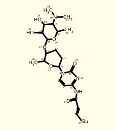 CCC(C)/C=C/C(=O)Nc1ccn(C2CCC(OC3OC(C)C(N(C)C)C(O)C3O)C(C)O2)c(=O)n1